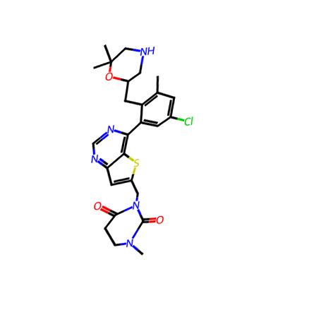 Cc1cc(Cl)cc(-c2ncnc3cc(CN4C(=O)CCN(C)C4=O)sc23)c1CC1CNCC(C)(C)O1